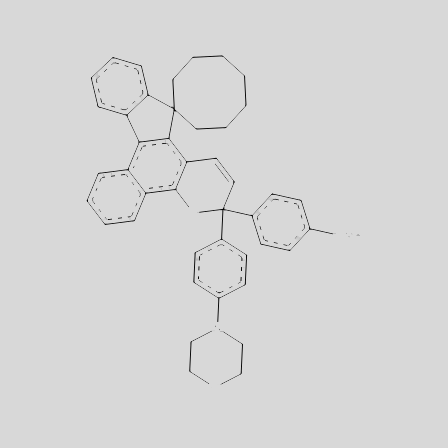 COc1ccc(C2(c3ccc(N4CCOCC4)cc3)C=Cc3c4c(c5ccccc5c3O2)-c2ccccc2C42CCCCCCC2)cc1